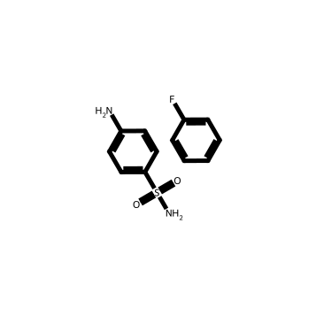 Fc1ccccc1.Nc1ccc(S(N)(=O)=O)cc1